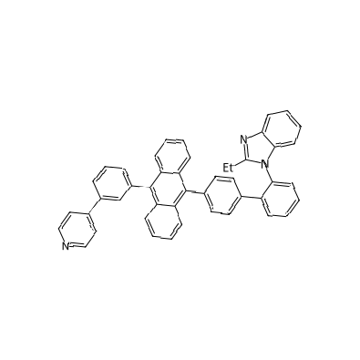 CCc1nc2ccccc2n1-c1ccccc1-c1ccc(-c2c3ccccc3c(-c3cccc(-c4ccncc4)c3)c3ccccc23)cc1